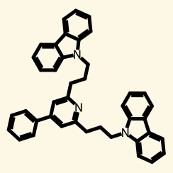 c1ccc(-c2cc(CCCn3c4ccccc4c4ccccc43)nc(CCCn3c4ccccc4c4ccccc43)c2)cc1